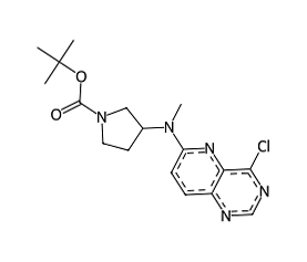 CN(c1ccc2ncnc(Cl)c2n1)C1CCN(C(=O)OC(C)(C)C)C1